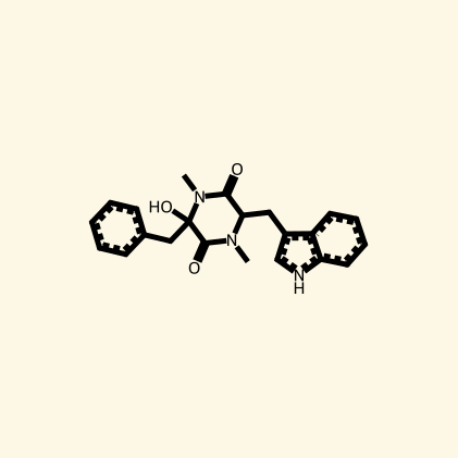 CN1C(=O)C(O)(Cc2ccccc2)N(C)C(=O)C1Cc1c[nH]c2ccccc12